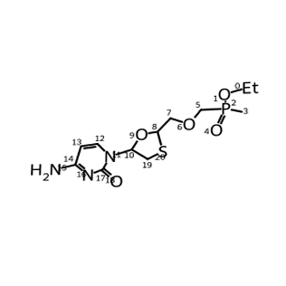 CCOP(C)(=O)COCC1OC(n2ccc(N)nc2=O)CS1